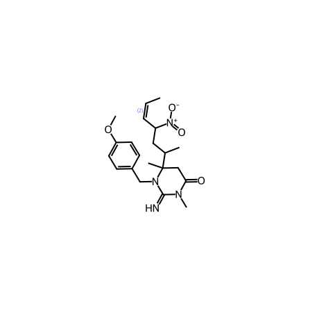 C/C=C\C(CC(C)C1(C)CC(=O)N(C)C(=N)N1Cc1ccc(OC)cc1)[N+](=O)[O-]